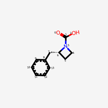 O=C(O)N1CC[C@@H]1Cc1ccccc1